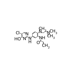 C=CC(=O)Nc1cc(Nc2ncc(Cl)c(O)n2)ccc1N(C)CCN(C)C